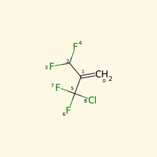 C=C(C(F)F)C(F)(F)Cl